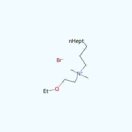 CCCCCCCCCC[N+](C)(C)CCOCC.[Br-]